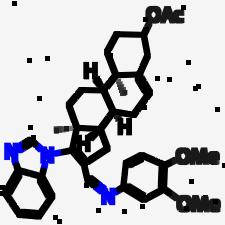 COc1ccc(/N=C\C2=C(n3cnc4ccccc43)[C@@]3(C)CC[C@H]4[C@@H](CC=C5CC(OC(C)=O)CC[C@@]54C)[C@@H]3C2)cc1OC